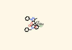 COC(=O)[C@@]1(C(F)(F)F)c2c(C)nn(-c3ccccc3)c2O[C@@]12C(=O)N(Cc1ccccc1)c1ccc(Cl)cc12